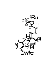 COc1cccc2c1C[C@H]1CC(=O)C(CC[C@@H](C)CO[Si](C)(C)C(C)(C)C)[C@H]1C2